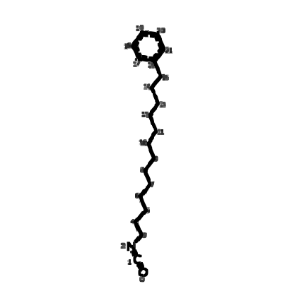 O=C=NCCCCCCCCCCCCCc1[c]cccc1